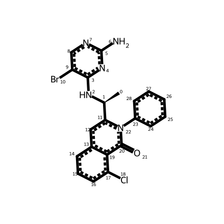 C[C@H](Nc1nc(N)ncc1Br)c1cc2cccc(Cl)c2c(=O)n1-c1ccccc1